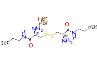 Br.Br.CCCCCCCCCCCCNC(=O)[C@@H](N)CSSC[C@H](N)C(=O)NCCCCCCCCCCCC